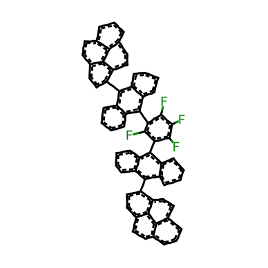 Fc1c(F)c(-c2c3ccccc3c(-c3ccc4ccc5cccc6ccc3c4c56)c3ccccc23)c(F)c(-c2c3ccccc3c(-c3ccc4ccc5cccc6ccc3c4c56)c3ccccc23)c1F